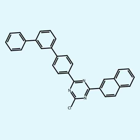 Clc1nc(-c2ccc(-c3cccc(-c4ccccc4)c3)cc2)nc(-c2ccc3ccccc3c2)n1